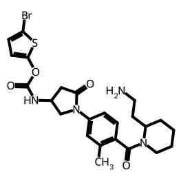 Cc1cc(N2CC(NC(=O)Oc3ccc(Br)s3)CC2=O)ccc1C(=O)N1CCCCC1CCN